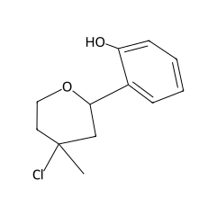 CC1(Cl)CCOC(c2ccccc2O)C1